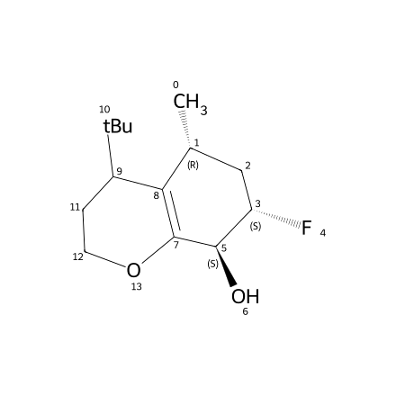 C[C@@H]1C[C@H](F)[C@@H](O)C2=C1C(C(C)(C)C)CCO2